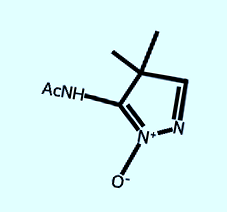 CC(=O)NC1=[N+]([O-])N=CC1(C)C